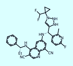 CC[C@@H](Nc1c(C#N)cnc2c(C#N)cc(N[C@H](C3=CN(C4(C(F)F)CC4)NN3)c3ccc(F)nc3C)cc12)c1ccccc1